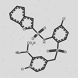 CC(C)(C)N(C(=O)O)c1cc(CS(=O)(=O)c2ccc(Cl)cc2NS(=O)(=O)c2cc3ccccc3o2)cc[n+]1[O-]